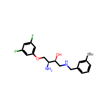 CC(C)(C)c1cccc(CNC[C@H](O)[C@@H](N)COc2cc(F)cc(F)c2)c1